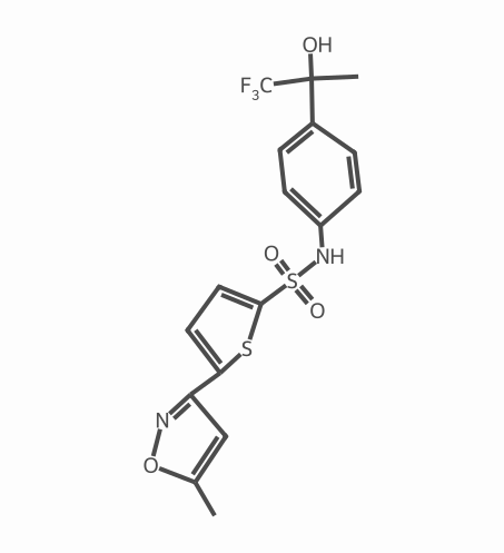 Cc1cc(-c2ccc(S(=O)(=O)Nc3ccc(C(C)(O)C(F)(F)F)cc3)s2)no1